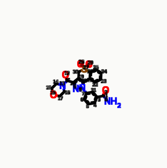 NC(=O)c1cccc(-n2nc(C(=O)N3CCOCC3)c3c2-c2ccccc2S(=O)(=O)C3)c1